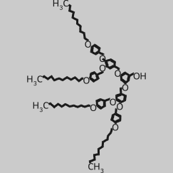 CCCCCCCCCCCCOc1ccc(COc2ccc(COc3cc(CO)cc(OCc4ccc(OCc5ccc(OCCCCCCCCCCCC)cc5)c(OCc5ccc(OCCCCCCCCCCCC)cc5)c4)c3)cc2OCc2ccc(OCCCCCCCCCCCC)cc2)cc1